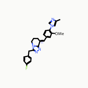 COc1cc(/C=C2\CCCn3c(Cc4ccc(F)cc4)nnc32)ccc1-n1cnc(C)c1